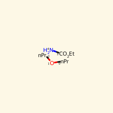 CCCOCCC.CCOC(N)=O